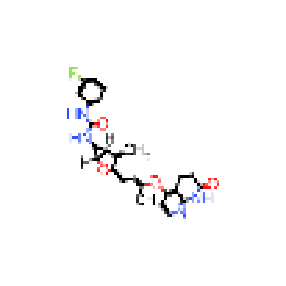 C=C1/C(=C\C=C(/C)Oc2ccnc3c2CCC(=O)N3)O[C@@H]2[C@@H](NC(=O)Nc3cccc(F)c3)[C@H]12